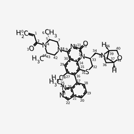 C=CC(=O)N1[C@H](C)CN(c2nc(=O)n3c4c(c(-c5cccc6cnn(C)c56)c(C)cc24)SC[C@@H]3CN2C[C@@H]3C[C@H]2CO3)C[C@@H]1C